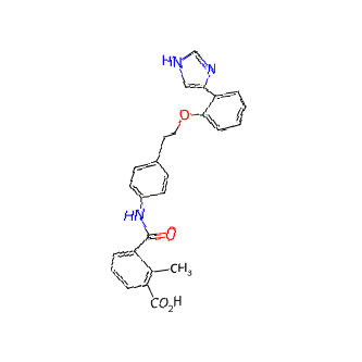 Cc1c(C(=O)O)cccc1C(=O)Nc1ccc(CCOc2ccccc2-c2c[nH]cn2)cc1